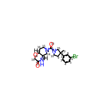 CC1(c2cccc(Br)c2)CCN(C(=O)N2CC[C@@H]3OCC(=O)N[C@@H]3C2)C1